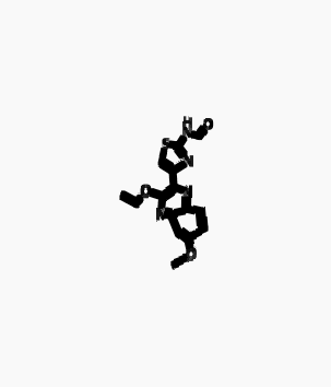 CCOc1nc2cc(OC)ccc2nc1-c1csc(NC=O)n1